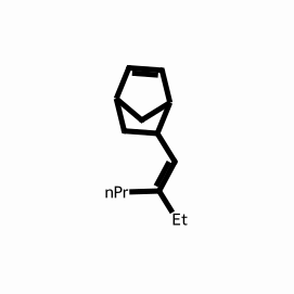 CCC/C(=C\C1CC2C=CC1C2)CC